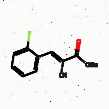 CC(C)COC(=O)/C(C#N)=C/c1ccccc1F